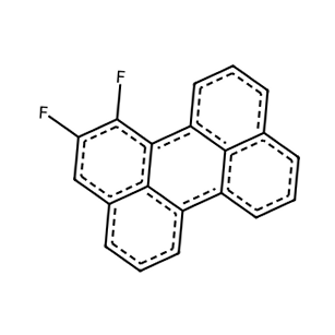 Fc1cc2cccc3c4cccc5cccc(c(c1F)c23)c54